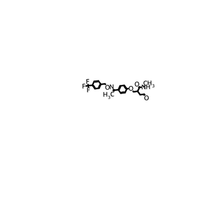 CNC(=O)C(CC=O)COc1ccc(/C(C)=N/OCc2ccc(C(F)(F)F)cc2)cc1